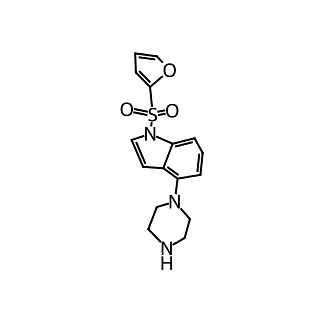 O=S(=O)(c1ccco1)n1ccc2c(N3CCNCC3)cccc21